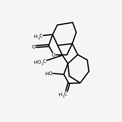 C=C1C2CCC3C45CCCC(C)(C(=O)OC4)C5C(C(=O)O)C3(C2)C1O